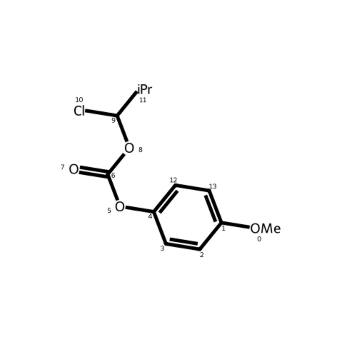 COc1ccc(OC(=O)OC(Cl)C(C)C)cc1